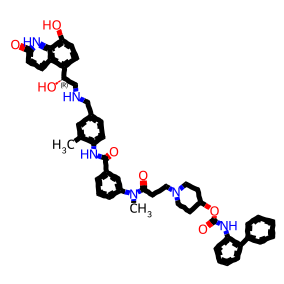 Cc1cc(CNC[C@H](O)c2ccc(O)c3[nH]c(=O)ccc23)ccc1NC(=O)c1cccc(N(C)C(=O)CCN2CCC(OC(=O)Nc3ccccc3-c3ccccc3)CC2)c1